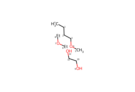 CCCCOC.CCOCC.OCCO